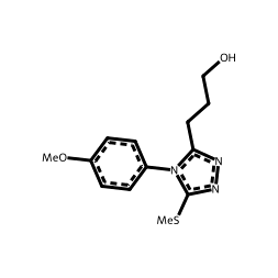 COc1ccc(-n2c(CCCO)nnc2SC)cc1